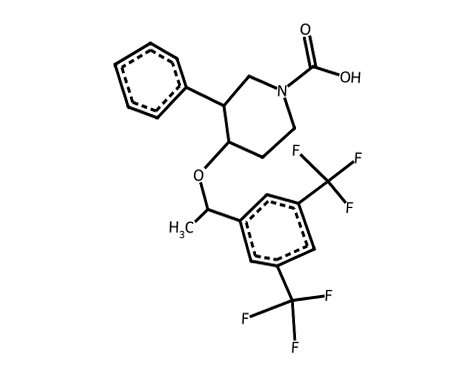 CC(OC1CCN(C(=O)O)CC1c1ccccc1)c1cc(C(F)(F)F)cc(C(F)(F)F)c1